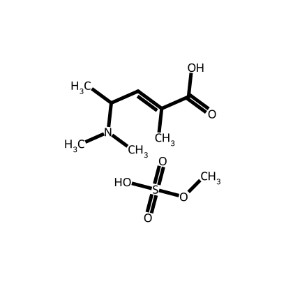 CC(=CC(C)N(C)C)C(=O)O.COS(=O)(=O)O